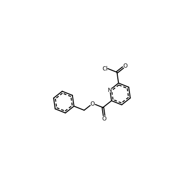 O=C(Cl)c1cccc(C(=O)OCc2ccccc2)n1